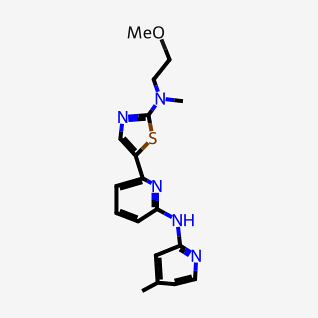 COCCN(C)c1ncc(-c2cccc(Nc3cc(C)ccn3)n2)s1